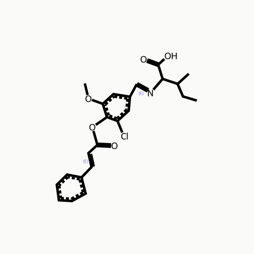 CCC(C)C(/N=C/c1cc(Cl)c(OC(=O)/C=C/c2ccccc2)c(OC)c1)C(=O)O